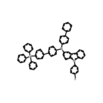 Fc1ccc(-n2c3ccccc3c3cc(N(c4ccc(-c5ccccc5)cc4)c4ccc(-c5ccc([Si](c6ccccc6)(c6ccccc6)c6ccccc6)cc5)cc4)ccc32)cc1